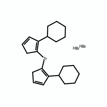 Br.Br.C1=CC(C2CCCCC2)=[C]([Zr][C]2=C(C3CCCCC3)C=CC2)C1